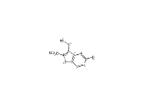 CCOc1c(C(=O)O)sc2ccc(Br)cc12